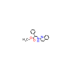 CCOC(=O)C(=CNc1ccc2ccccc2n1)c1ccccc1